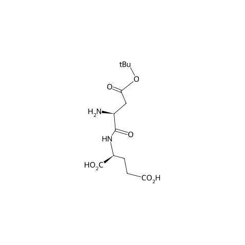 CC(C)(C)OC(=O)C[C@H](N)C(=O)N[C@@H](CCC(=O)O)C(=O)O